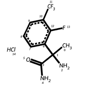 CC(N)(C(N)=O)c1cccc(C(F)(F)F)c1F.Cl